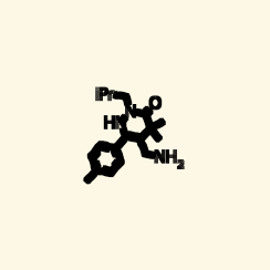 Cc1ccc(C2=C(CN)C(C)(C)C(=O)N(CC(C)C)N2)cc1